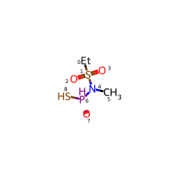 CCS(=O)(=O)N(C)[PH](=O)S